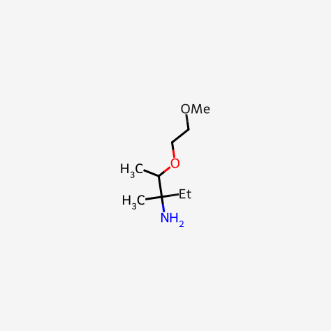 CCC(C)(N)C(C)OCCOC